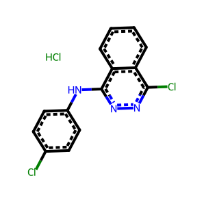 Cl.Clc1ccc(Nc2nnc(Cl)c3ccccc23)cc1